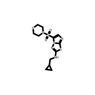 O=S(=O)(c1cnc2sc(NCC3CC3)nn12)N1CCOCC1